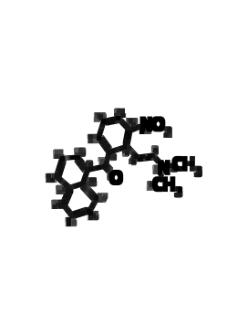 CN(C)C=Cc1c(C(=O)c2cccc3ccccc23)cccc1[N+](=O)[O-]